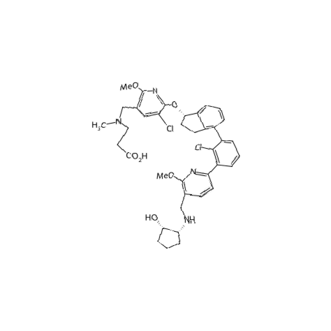 COc1nc(-c2cccc(-c3cccc4c3CC[C@@H]4Oc3nc(OC)c(CN(C)CCC(=O)O)cc3Cl)c2Cl)ccc1CN[C@@H]1CCC[C@@H]1O